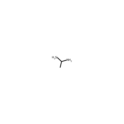 CC(N)[SiH3]